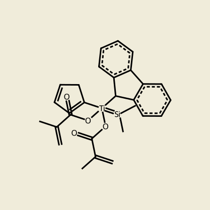 C=C(C)C(=O)[O][Ti]([O]C(=O)C(=C)C)([C]1=CC=CC1)([CH]1c2ccccc2-c2ccccc21)=[Si](C)C